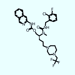 CN(C(=O)NCc1cccc(F)c1Cl)[C@@H](CCCN1CCCN(CC(F)(F)F)CC1)COC(=O)Nc1cc2ccccc2cn1